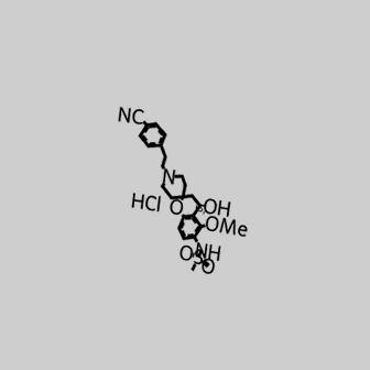 COc1c(NS(C)(=O)=O)ccc2c1[C@@H](O)CC1(CCN(CCc3ccc(C#N)cc3)CC1)O2.Cl